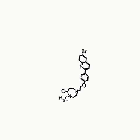 CN1CCN(CCOc2ccc(-c3ccc4cc(Br)ccc4n3)cc2)CCC1=O